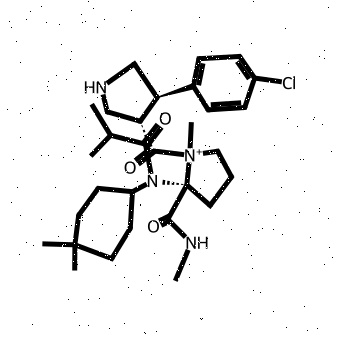 CNC(=O)[C@]1(N(C(=O)C(C)C)C2CCC(C)(C)CC2)CCC[N+]1(C)C(=O)[C@@H]1CNC[C@H]1c1ccc(Cl)cc1